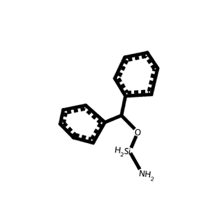 N[SiH2]OC(c1ccccc1)c1ccccc1